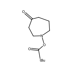 CC(C)(C)C(=O)ON1CCCC(=O)CC1